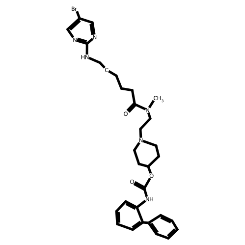 CN(CCN1CCC(OC(=O)Nc2ccccc2-c2ccccc2)CC1)C(=O)CCCCCNc1ncc(Br)cn1